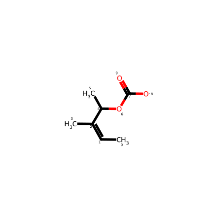 CC=C(C)C(C)OC([O])=O